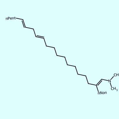 CCCCCC=CCC=CCCCCCCCCCC(=CN(C)C)CCCCCCCCC